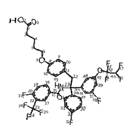 O=C(O)CCCCOc1ccc(CC(NC(=O)c2ccc(F)c(C(F)(F)F)c2)(c2ccc(F)cc2)c2cc(F)cc(OC(F)(F)C(F)F)c2)cc1